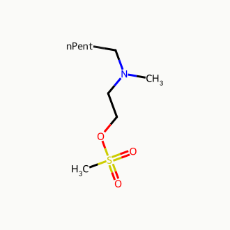 CCCCCCN(C)CCOS(C)(=O)=O